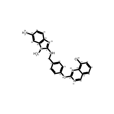 Cn1c(NCc2ccc(Oc3ncc4cccc(Cl)c4n3)cc2)nc2ccc(N)cc21